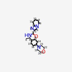 CC(NC(=O)c1cn2ccccc2n1)c1ccc(N2CCOCC2)cc1